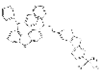 CC(C)(C)c1ccc2c(c1)sc1ccc(CCC(c3ccccc3)c3ccc4oc5cccc(N(c6ccccc6)c6ccccc6)c5c4c3)cc12